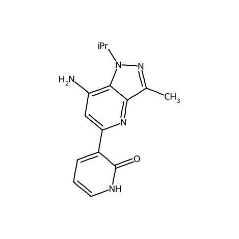 Cc1nn(C(C)C)c2c(N)cc(-c3ccc[nH]c3=O)nc12